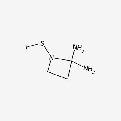 NC1(N)CCN1SI